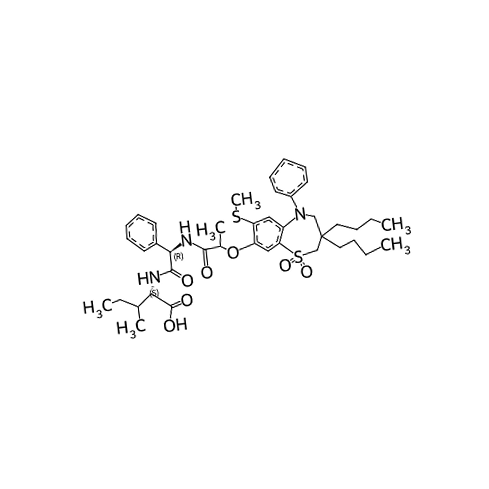 CCCCC1(CCCC)CN(c2ccccc2)c2cc(SC)c(OC(C)C(=O)N[C@@H](C(=O)N[C@H](C(=O)O)C(C)CC)c3ccccc3)cc2S(=O)(=O)C1